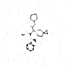 CC(CC1CCCC1)C(C(=O)N(O)C=O)N1CC2(CC2)C[C@H]1c1nc2ccccc2[nH]1